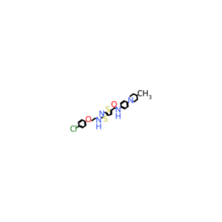 CC1CCN(c2ccc(NC(=O)c3cc4sc(NCCOc5ccc(Cl)cc5)nc4s3)cc2)CC1